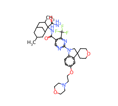 CC1CC2CC(C)C(NC(=O)c3cnc(N4CC5(CCOCC5)c5cc(OCCN6CCOCC6)ccc54)nc3C(F)(F)F)(C(N)=O)C(C1)C2